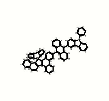 c1ccc(-n2c3ccccc3c3cc(-c4c5ccccc5c(-c5ccc6c7c(c8ccccc8c6c5)-c5ccc6ccccc6c5C75c6ccccc6-c6ccccc65)c5ccccc45)ccc32)cc1